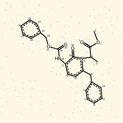 COC(=O)C(C)n1c(Cc2ccccc2)ccc(NC(=O)OCc2ccccc2)c1=O